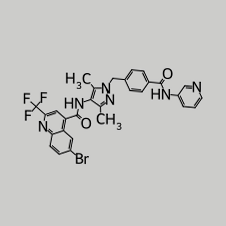 Cc1nn(Cc2ccc(C(=O)Nc3cccnc3)cc2)c(C)c1NC(=O)c1cc(C(F)(F)F)nc2ccc(Br)cc12